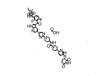 CCN(C)S(=O)(=O)Nc1ccc(F)c(C(=O)c2c[nH]c3ncc(-c4cnc(N5CCC(NC(=O)N6CCC(c7ccc(NC8CCC(=O)NC8=O)cn7)CC6)CC5)nc4)cc23)c1F.O=CO